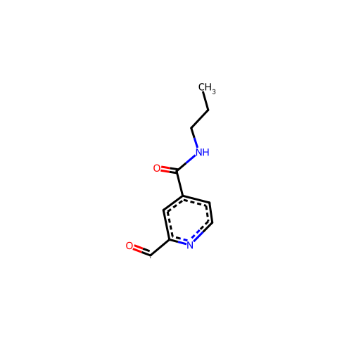 CCCNC(=O)c1ccnc([C]=O)c1